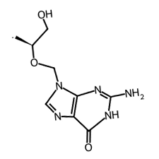 [CH2][C@@H](CO)OCn1cnc2c(=O)[nH]c(N)nc21